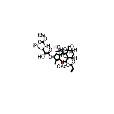 C=CC1O[C@H]2C[C@H]3OC[C@@]3(O)[C@H]3[C@H](O)[C@]4(C(C)(C)O)C[C@H](OC(=O)[C@H](O)[C@H](CC(C)C)NC(=O)OC(C)(C)C)C(C)=C4[C@H](OC(C)=O)[C@H](O1)[C@]23C